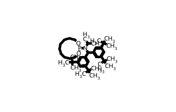 CC(C)N(C(c1cc(C(C)(C)C)cc(C(C)(C)C)c1)c1cc(C(C)(C)C)cc(C(C)(C)C)c1)P1OCCCCCCCCCO1